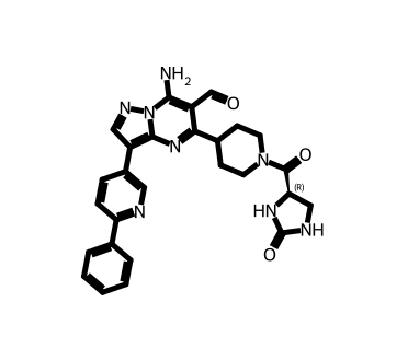 Nc1c(C=O)c(C2CCN(C(=O)[C@H]3CNC(=O)N3)CC2)nc2c(-c3ccc(-c4ccccc4)nc3)cnn12